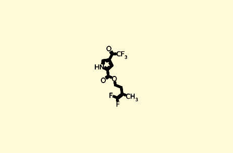 CC(CCOC(=O)c1cc(C(=O)C(F)(F)F)c[nH]1)=C(F)F